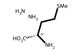 CSCC[C@H](N)C(=O)O.N.N